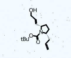 C=CC[C@H]1CC[C@@H](/C=C/CO)N1C(=O)OC(C)(C)C